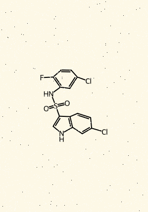 O=S(=O)(Nc1cc(Cl)ccc1F)c1c[nH]c2cc(Cl)ccc12